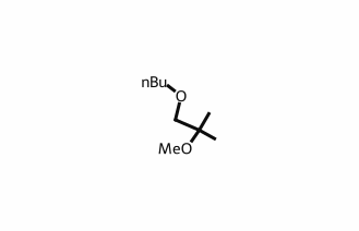 [CH2]OC(C)(C)COCCCC